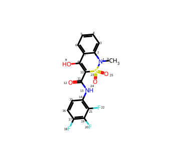 CN1c2ccccc2C(O)=C(C(=O)Nc2ccc(F)c(F)c2F)S1(=O)=O